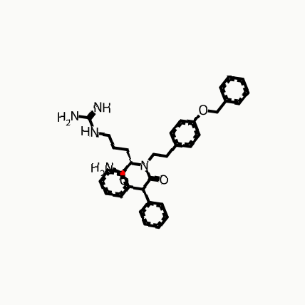 N=C(N)NCCC[C@H](C(N)=O)N(CCc1ccc(OCc2ccccc2)cc1)C(=O)C(c1ccccc1)c1ccccc1